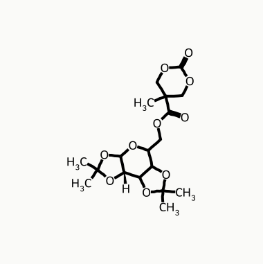 CC1(C)OC2C(COC(=O)C3(C)COC(=O)OC3)OC3OC(C)(C)O[C@H]3C2O1